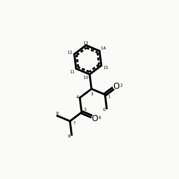 CC(=O)C(CC(=O)C(C)C)c1ccccc1